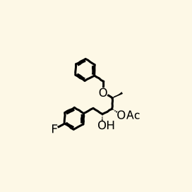 CC(=O)O[C@H]([C@H](O)Cc1ccc(F)cc1)[C@H](C)OCc1ccccc1